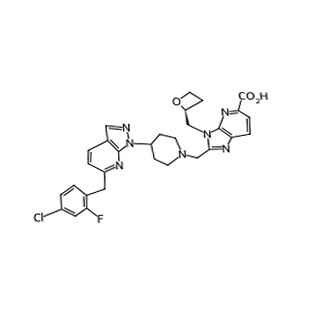 O=C(O)c1ccc2nc(CN3CCC(n4ncc5ccc(Cc6ccc(Cl)cc6F)nc54)CC3)n(C[C@@H]3CCO3)c2n1